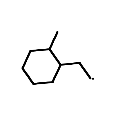 [CH2]CC1CCCCC1C